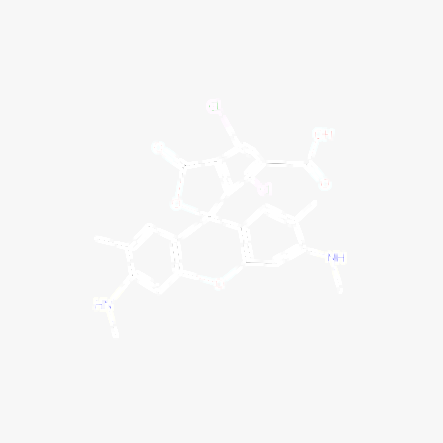 CNc1cc2c(cc1C)C1(OC(=O)c3c(Cl)cc(C(=O)O)c(Cl)c31)c1cc(C)c(NC)cc1O2